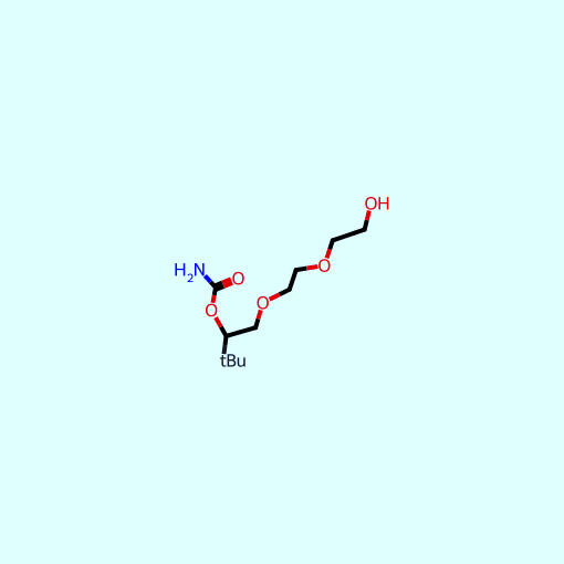 CC(C)(C)C(COCCOCCO)OC(N)=O